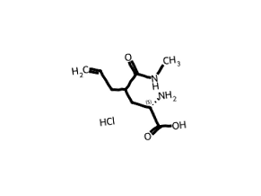 C=CCC(C[C@H](N)C(=O)O)C(=O)NC.Cl